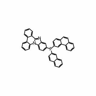 c1ccc2cc(P(c3ccc4c(c3)nc3c5ccccc5c5ccccc5n43)c3ccc4ccc5ccccc5c4c3)ccc2c1